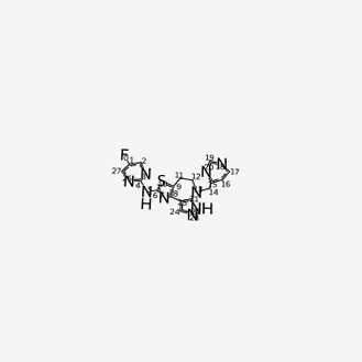 Fc1cnc(Nc2nc3c(s2)CCN(Cc2ccncn2)c2[nH]ncc2-3)nc1